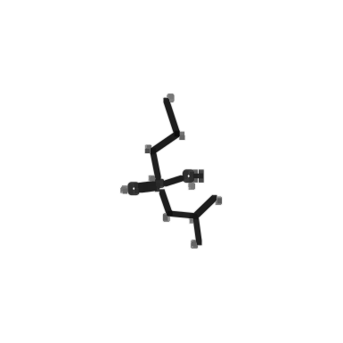 CCCP(=O)(O)CC(C)C